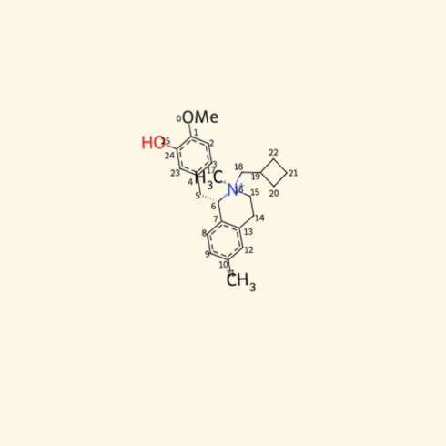 COc1ccc(C[C@H]2c3ccc(C)cc3CC[N@+]2(C)CC2CCC2)cc1O